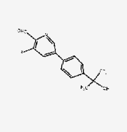 O=Cc1ncc(-c2ccc(C(O)(C(F)(F)F)C(F)(F)F)cc2)cc1F